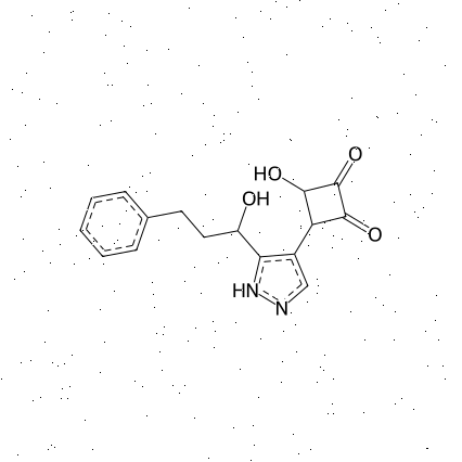 O=C1C(=O)C(c2cn[nH]c2C(O)CCc2ccccc2)C1O